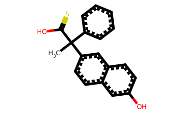 CC(C(O)=S)(c1ccccc1)c1ccc2cc(O)ccc2c1